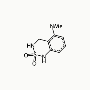 CNc1cccc2c1CNS(=O)(=O)N2